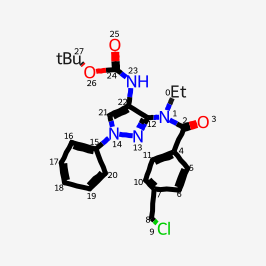 CCN(C(=O)c1ccc(CCl)cc1)c1nn(-c2ccccc2)cc1NC(=O)OC(C)(C)C